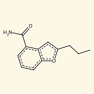 CCCc1cc2c(C(N)=O)cccc2o1